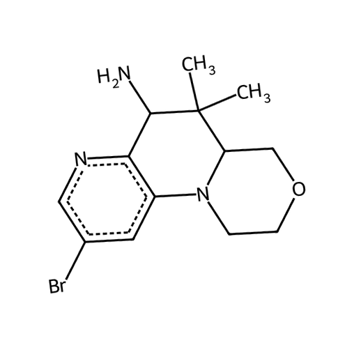 CC1(C)C(N)c2ncc(Br)cc2N2CCOCC21